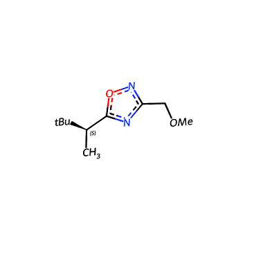 COCc1noc([C@@H](C)C(C)(C)C)n1